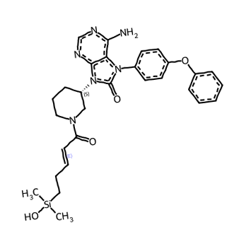 C[Si](C)(O)CC/C=C/C(=O)N1CCC[C@H](n2c(=O)n(-c3ccc(Oc4ccccc4)cc3)c3c(N)ncnc32)C1